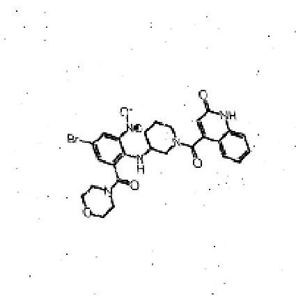 O=C(c1cc(Br)cc([N+](=O)[O-])c1NC1CCCN(C(=O)c2cc(=O)[nH]c3ccccc23)C1)N1CCOCC1